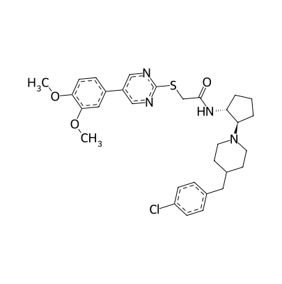 COc1ccc(-c2cnc(SCC(=O)N[C@@H]3CCC[C@H]3N3CCC(Cc4ccc(Cl)cc4)CC3)nc2)cc1OC